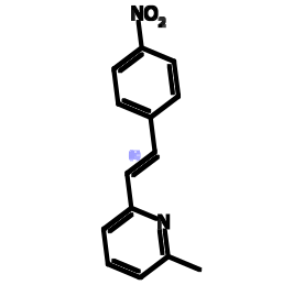 Cc1cccc(/C=C/c2ccc([N+](=O)[O-])cc2)n1